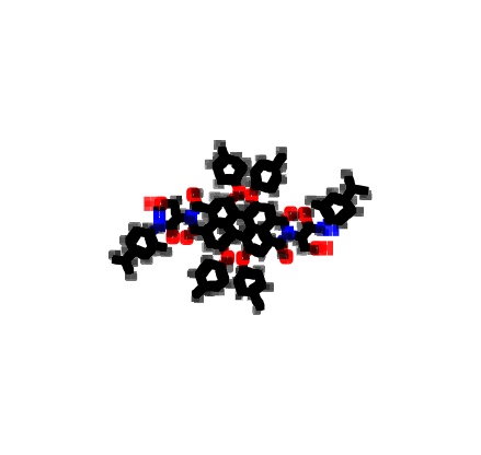 Cc1ccc(Oc2cc3c4c(cc(Oc5ccc(C)cc5)c5c6c(Oc7ccc(C)cc7)cc7c8c(cc(Oc9ccc(C)cc9)c(c2c45)c86)C(=O)N(C(CO)C(=O)Nc2ccc(C(C)C)cc2C)C7=O)C(=O)N(C(CO)C(=O)Nc2ccc(C(C)C)cc2C)C3=O)cc1